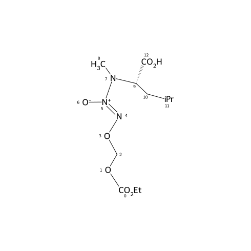 CCOC(=O)OCON=[N+]([O-])N(C)[C@@H](CC(C)C)C(=O)O